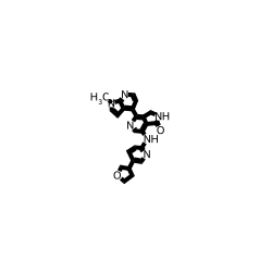 Cn1ccc2c(-c3ncc(Nc4ccc(C5CCOC5)cn4)c4c3CNC4=O)ccnc21